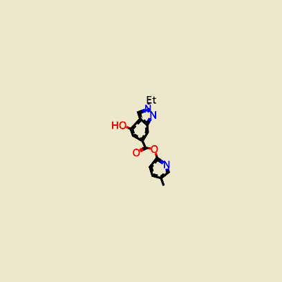 CCn1cc2c(O)cc(C(=O)Oc3ccc(C)cn3)cc2n1